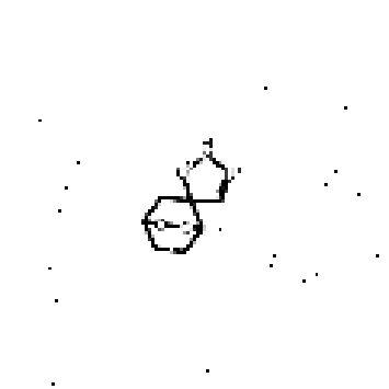 C1=[N+]NOC12CC1CCC2CC1